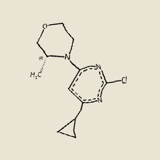 C[C@@H]1COCCN1c1cc(C2CC2)nc(Cl)n1